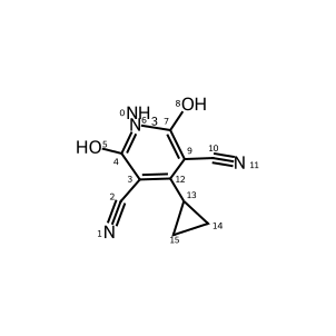 N.N#Cc1c(O)nc(O)c(C#N)c1C1CC1